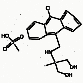 CC(CO)(CO)NCc1c2ccccc2c(Cl)c2ccccc12.CS(=O)(=O)O